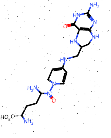 Nc1nc2c(c(=O)[nH]1)NC(CNC1=CCN([N+](=O)C(N)CC[C@H](N)C(=O)O)C=C1)CN2